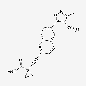 COC(=O)C1(C#Cc2ccc3cc(-c4onc(C)c4C(=O)O)ccc3c2)CC1